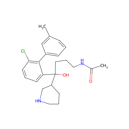 CC(=O)NCCCC(O)(c1cccc(Cl)c1-c1cccc(C)c1)C1CCCNC1